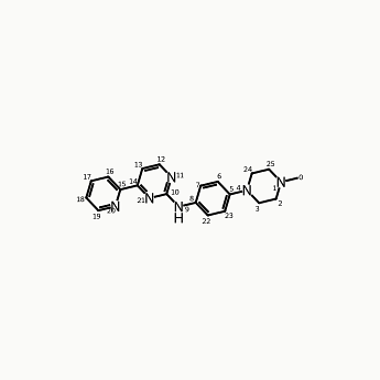 CN1CCN(c2ccc(Nc3nccc(-c4ccccn4)n3)cc2)CC1